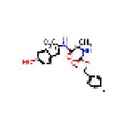 C[C@H](NC(=O)OCc1ccccc1)C(=O)N[C@@H](Cc1ccc(O)cc1)C(=O)O